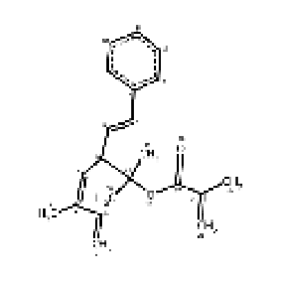 C=CC(C)=CC(C=Cc1ccccc1)C(C)(C)OC(=O)C(=C)C